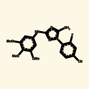 COc1cc(Nc2nc(N)n(-c3ccc(C#N)cc3F)n2)cc(OC)c1OC